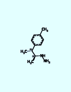 Cc1ccc([C@@H](C)[C@H](C)NN)cc1